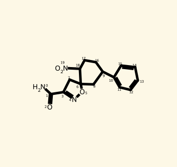 NC(=O)C1=NOC2(C1)CC(c1ccccc1)CCC2[N+](=O)[O-]